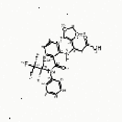 O=C(O)CC(Nc1ncccc1C(=O)N(c1ccccc1)C(F)(F)C(F)(F)F)C1=COCO1